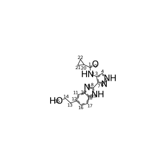 O=C(Nc1c[nH]nc1-c1nc2cc(CCO)ccc2[nH]1)C1CC1